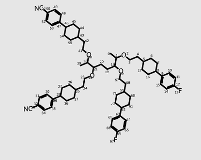 CC(OCCC1CCC(c2ccc(F)cc2)CC1)C(CCC(OCCC1CCC(c2ccc(C#N)cc2)CC1)C(C)OCCC1CCC(c2ccc(C#N)cc2)CC1)OCCC1CCC(c2ccc(F)cc2)CC1